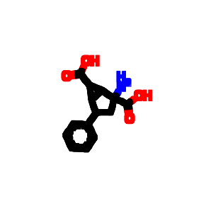 NC1(C(=O)O)CC(c2ccccc2)C2C(C(=O)O)C21